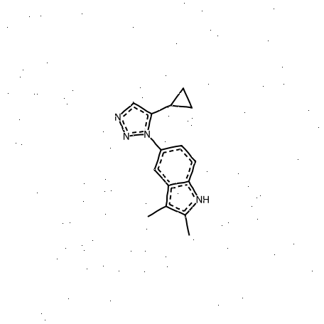 Cc1[nH]c2ccc(-n3nncc3C3CC3)cc2c1C